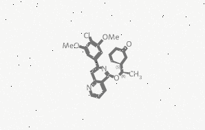 COc1cc(-c2cc3ncccc3c(O[C@H](C)[C@H]3CCCC(=O)C3)n2)cc(OC)c1Cl